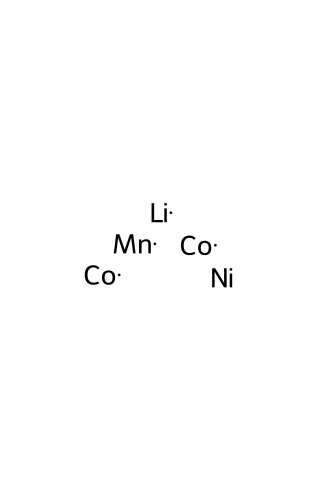 [Co].[Co].[Li].[Mn].[Ni]